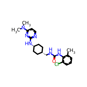 Cc1cccc(Cl)c1NC(=O)NC[C@H]1CC[C@@H](Nc2nccc(N(C)C)n2)CC1